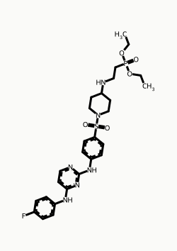 CCOP(=O)(CCNC1CCN(S(=O)(=O)c2ccc(Nc3nccc(Nc4ccc(F)cc4)n3)cc2)CC1)OCC